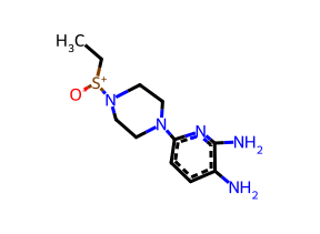 CC[S+]([O-])N1CCN(c2ccc(N)c(N)n2)CC1